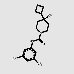 O=C(Nc1cc(C(F)(F)F)cc(C(F)(F)F)c1)N1CCC(O)(C2CCC2)CC1